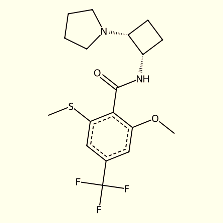 COc1cc(C(F)(F)F)cc(SC)c1C(=O)N[C@H]1CC[C@H]1N1CCCC1